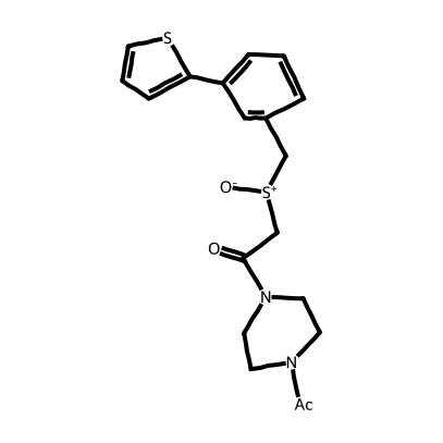 CC(=O)N1CCN(C(=O)C[S+]([O-])Cc2cccc(-c3cccs3)c2)CC1